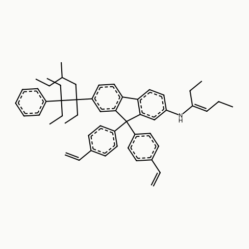 C=Cc1ccc(C2(c3ccc(C=C)cc3)c3cc(N/C(=C/CC)CC)ccc3-c3ccc(C(CC)(CC(C)CC)C(CC)(CC)c4ccccc4)cc32)cc1